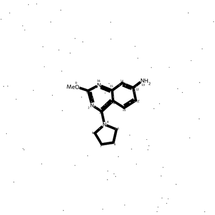 COc1nc(N2CCCC2)c2ccc(N)cc2n1